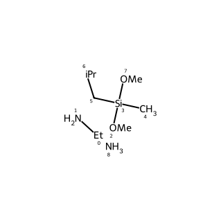 CCN.CO[Si](C)(CC(C)C)OC.N